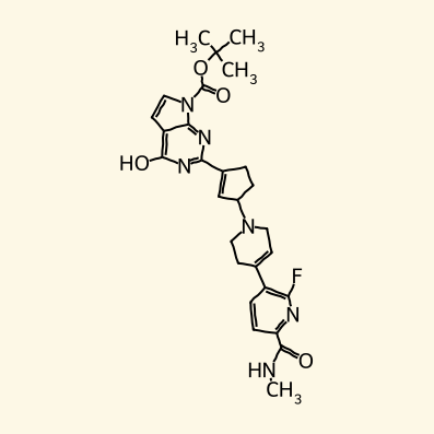 CNC(=O)c1ccc(C2=CCN(C3C=C(c4nc(O)c5ccn(C(=O)OC(C)(C)C)c5n4)CC3)CC2)c(F)n1